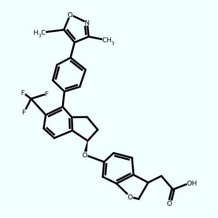 Cc1noc(C)c1-c1ccc(-c2c(C(F)(F)F)ccc3c2CC[C@H]3Oc2ccc3c(c2)OCC3CC(=O)O)cc1